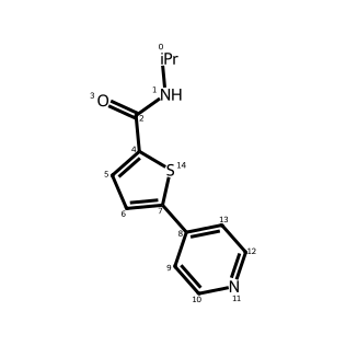 CC(C)NC(=O)c1ccc(-c2ccncc2)s1